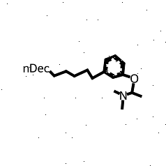 CCCCCCCCCCCCCCCc1cccc(OC(C)N(C)C)c1